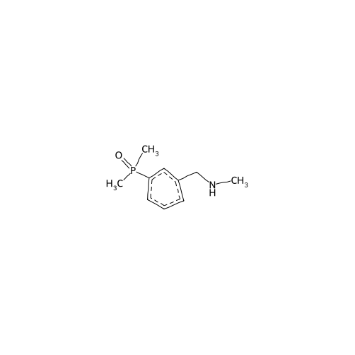 CNCc1cccc(P(C)(C)=O)c1